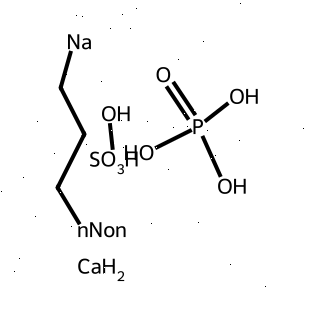 CCCCCCCCCCC[CH2][Na].O=P(O)(O)O.O=S(=O)(O)O.[CaH2]